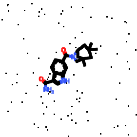 CC1(C)CC2CC(C)(CN2C(=O)c2ccc3c(C(N)=O)c[nH]c3c2)C1